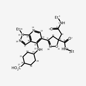 CCNC(=O)CC1(C(=O)NCC)CC(c2cnc3c(cnn3CC)c2NC2CCC(C(=O)O)CC2)=NO1